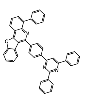 c1ccc(-c2cc(-c3ccc(-c4nc5c(-c6ccccc6)cccc5c5oc6ccccc6c45)cc3)nc(-c3ccccc3)n2)cc1